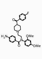 COc1ccc(N(CCN2CCC(C(=O)c3ccc(F)cc3)CC2)C(=O)c2ccc(N)cc2)c(OC)c1